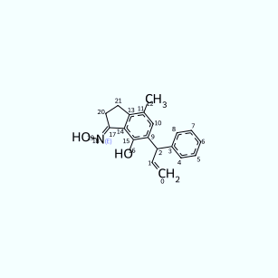 C=CC(c1ccccc1)c1cc(C)c2c(c1O)/C(=N/O)CC2